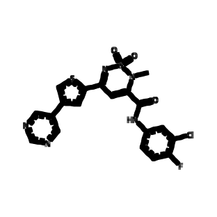 CN1C(C(=O)Nc2ccc(F)c(Cl)c2)=CC(c2cc(-c3cncnc3)cs2)=NS1(=O)=O